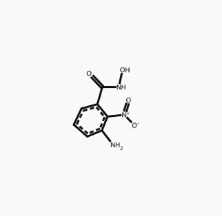 Nc1cccc(C(=O)NO)c1[N+](=O)[O-]